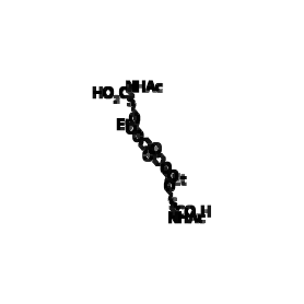 CCOC(COCCCSCC(NC(C)=O)C(=O)O)COc1ccc(S(=O)(=O)c2ccc(OCC(COCCCSCC(NC(C)=O)C(=O)O)OCC)cc2)cc1